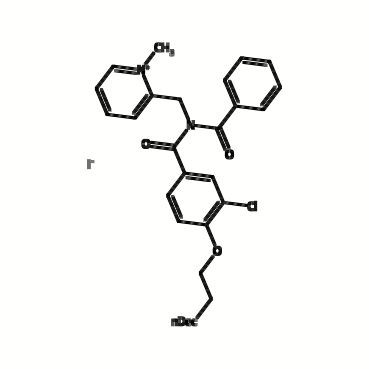 CCCCCCCCCCCCOc1ccc(C(=O)N(Cc2cccc[n+]2C)C(=O)c2ccccc2)cc1Cl.[I-]